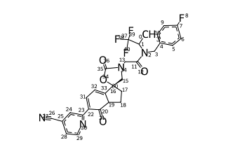 CC(N(Cc1ccc(F)cc1)C(=O)CN1C[C@]2(CCC3C(=O)C(c4cc(C#N)ccn4)=CC=C32)OC1=O)C(F)(F)F